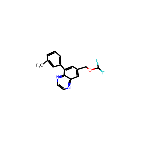 FC(F)OCc1cc(-c2cccc(C(F)(F)F)c2)c2nccnc2c1